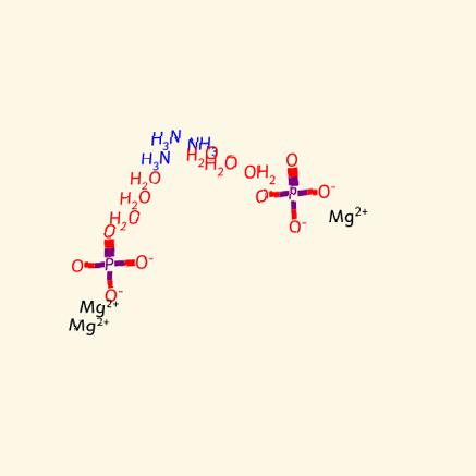 N.N.N.O.O.O.O.O.O.O=P([O-])([O-])[O-].O=P([O-])([O-])[O-].[Mg+2].[Mg+2].[Mg+2]